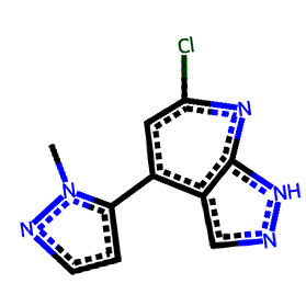 Cn1nccc1-c1cc(Cl)nc2[nH]ncc12